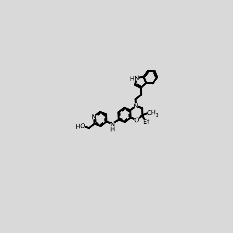 CCC1(C)CN(CCC2=CNC3=CC=CCC23)c2ccc(Nc3ccnc(CO)c3)cc2O1